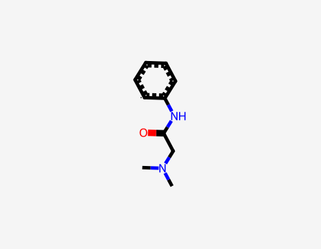 CN(C)CC(=O)Nc1[c]cccc1